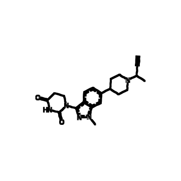 C#CC(C)N1CCC(c2ccc3c(N4CCC(=O)NC4=O)nn(C)c3c2)CC1